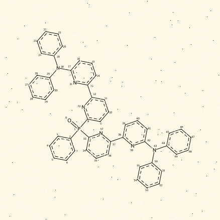 O=P(c1ccccc1)(c1cccc(-c2cccc(N(c3ccccc3)c3ccccc3)n2)n1)c1cccc(-c2cccc(N(c3ccccc3)c3ccccc3)n2)n1